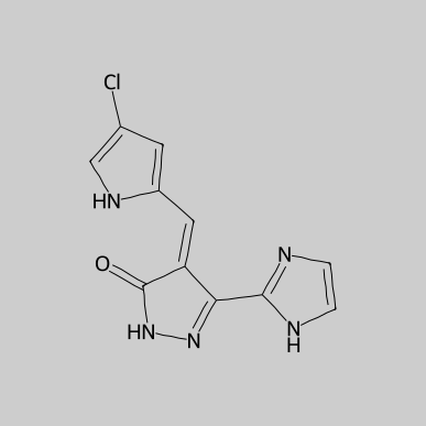 O=C1NN=C(c2ncc[nH]2)C1=Cc1cc(Cl)c[nH]1